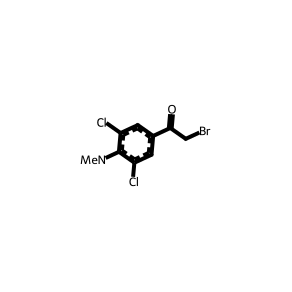 CNc1c(Cl)cc(C(=O)CBr)cc1Cl